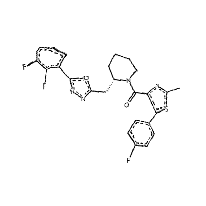 Cc1nc(C(=O)N2CCCC[C@H]2Cc2nnc(-c3cccc(F)c3F)o2)c(-c2ccc(F)cc2)s1